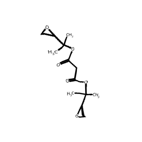 CC(C)(OC(=O)CC(=O)OC(C)(C)C1CO1)C1CO1